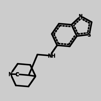 c1nc2ccc(NCC3CN4CCC3CC4)cc2s1